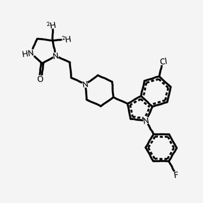 [2H]C1([2H])CNC(=O)N1CCN1CCC(c2cn(-c3ccc(F)cc3)c3ccc(Cl)cc23)CC1